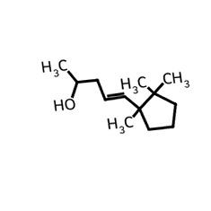 CC(O)CC=CC1(C)CCCC1(C)C